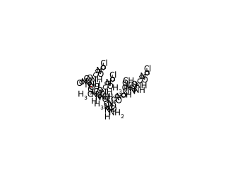 COCC(C)N(C(=O)c1nc[nH]c1C(N)=O)[C@H]1CC[C@@]2(CCN(c3cccc(Cl)c3)C2=O)CC1.COC[C@@H](C)NC(=O)c1nc[nH]c1C(=O)N[C@H]1CC[C@@]2(CCN(c3cccc(Cl)c3)C2=O)CC1.COC[C@H](C)NC(=O)c1nc[nH]c1C(=O)N[C@H]1CC[C@@]2(CCN(c3cccc(Cl)c3)C2=O)CC1.O=C(N[C@H]1CC[C@@]2(CCN(c3cccc(Cl)c3)C2=O)CC1)c1[nH]cnc1C(=O)N1CCOCC1